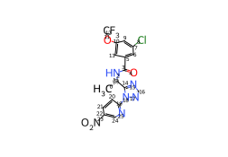 C[C@H](NC(=O)c1cc(Cl)cc(OC(F)(F)F)c1)c1ncnn1-c1ccc([N+](=O)[O-])cn1